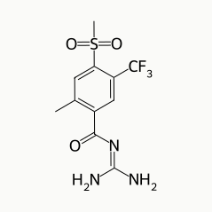 Cc1cc(S(C)(=O)=O)c(C(F)(F)F)cc1C(=O)N=C(N)N